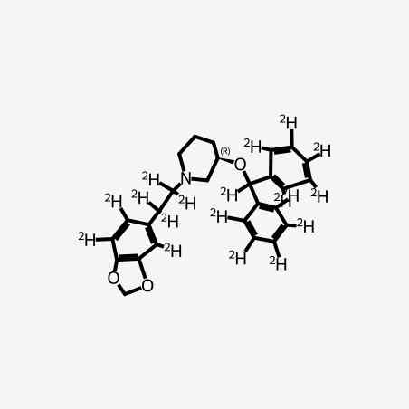 [2H]c1c([2H])c([2H])c(C([2H])(O[C@@H]2CCCN(C([2H])([2H])C([2H])([2H])c3c([2H])c([2H])c4c(c3[2H])OCO4)C2)c2c([2H])c([2H])c([2H])c([2H])c2[2H])c([2H])c1[2H]